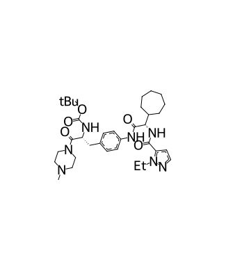 CCn1nccc1C(=O)N[C@H](C(=O)Nc1ccc(C[C@@H](NC(=O)OC(C)(C)C)C(=O)N2CCN(C)CC2)cc1)C1CCCCCC1